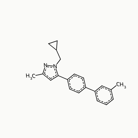 Cc1cccc(-c2ccc(-c3cc(C)nn3CC3CC3)cc2)c1